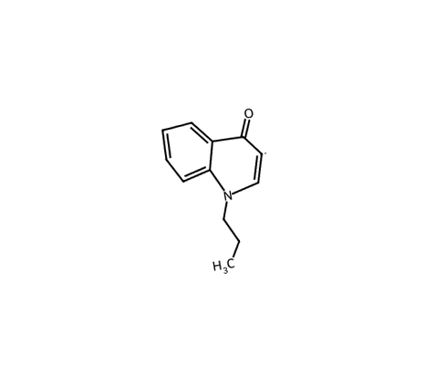 CCCn1c[c]c(=O)c2ccccc21